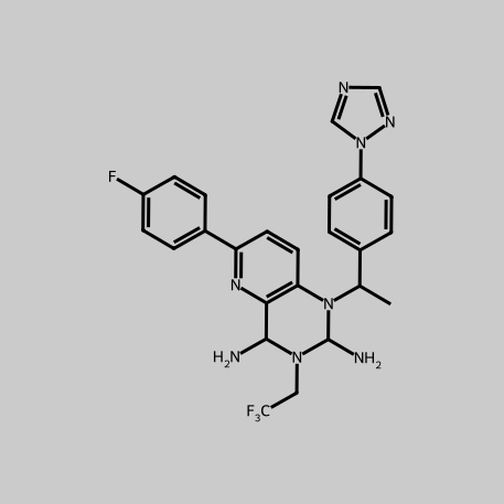 CC(c1ccc(-n2cncn2)cc1)N1c2ccc(-c3ccc(F)cc3)nc2C(N)N(CC(F)(F)F)C1N